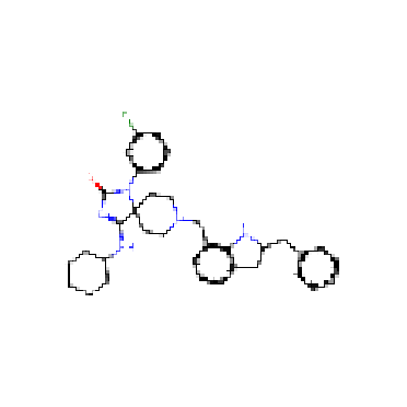 O=C1N=C(NC2CCCCC2)C2(CCN(Cc3cccc4c3NC(Cc3ccccc3)C4)CC2)N1c1cccc(F)c1